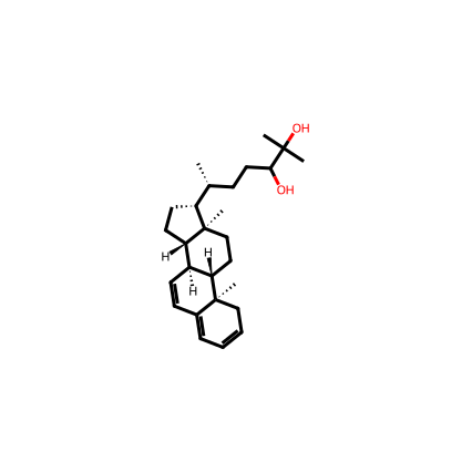 C[C@H](CCC(O)C(C)(C)O)[C@H]1CC[C@H]2[C@@H]3C=CC4=CC=CC[C@]4(C)[C@H]3CC[C@]12C